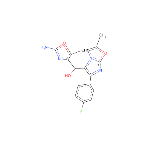 Cc1cn2c(C(O)c3nc(N)oc3C)c(-c3ccc(F)cc3)nc2o1